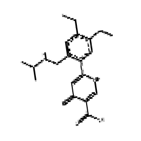 C=C1C=C(c2cc(CC)c(CC)cc2CNC(C)C)NC=C1C(=O)O